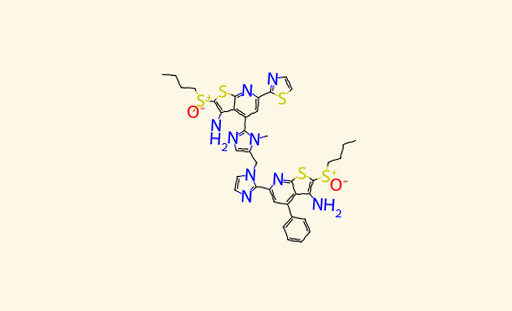 CCCC[S+]([O-])c1sc2nc(-c3nccn3Cc3cnc(-c4cc(-c5nccs5)nc5sc([S+]([O-])CCCC)c(N)c45)n3C)cc(-c3ccccc3)c2c1N